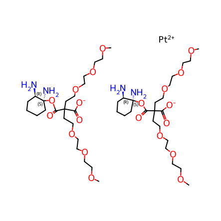 COCCOCCOCCC(CCOCCOCCOC)(C(=O)[O-])C(=O)O[C@@]1(N)CCCC[C@H]1N.COCCOCCOCCC(CCOCCOCCOC)(C(=O)[O-])C(=O)O[C@@]1(N)CCCC[C@H]1N.[Pt+2]